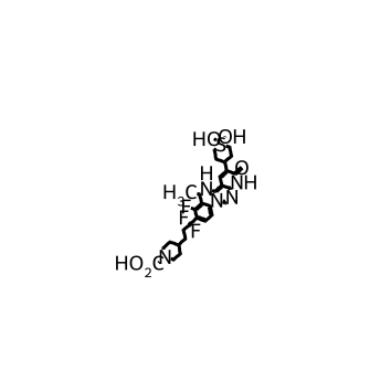 CC(Nc1ncnc2[nH]c(=O)c(C3CCS(O)(O)CC3)cc12)c1cccc(C(F)(F)CCC2CCN(C(=O)O)CC2)c1F